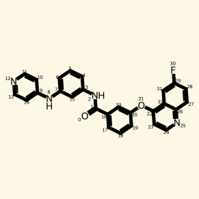 O=C(Nc1cccc(Nc2ccncc2)c1)c1cccc(Oc2ccnc3ccc(F)cc23)c1